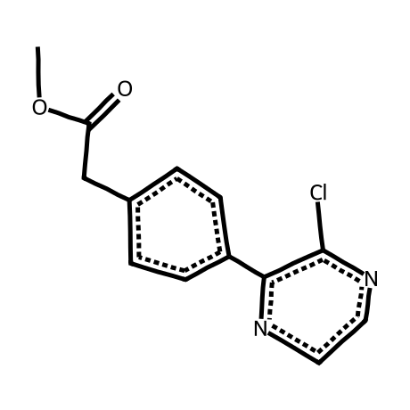 COC(=O)Cc1ccc(-c2nccnc2Cl)cc1